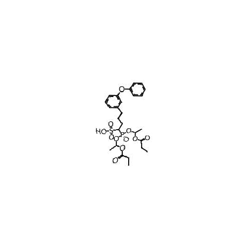 CCC(=O)OC(C)OP(=O)(OC(C)OC(=O)CC)C(CCCc1cccc(Oc2ccccc2)c1)S(=O)(=O)O